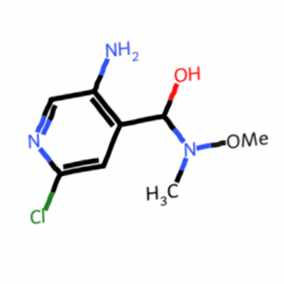 CON(C)C(O)c1cc(Cl)ncc1N